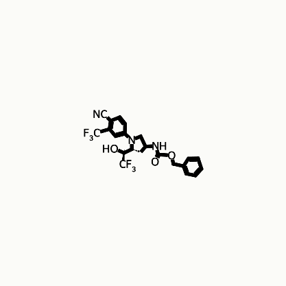 N#Cc1ccc(N2CC(NC(=O)OCc3ccccc3)C[C@@H]2[C@H](O)C(F)(F)F)cc1C(F)(F)F